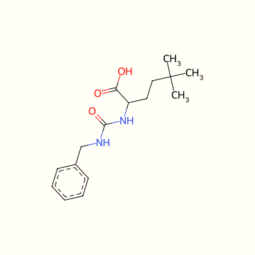 CC(C)(C)CCC(NC(=O)NCc1ccccc1)C(=O)O